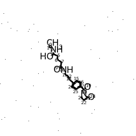 CCN[C@H](O)CCCC(=O)NCCCc1ccc(C(=O)N2CCC2=O)cc1